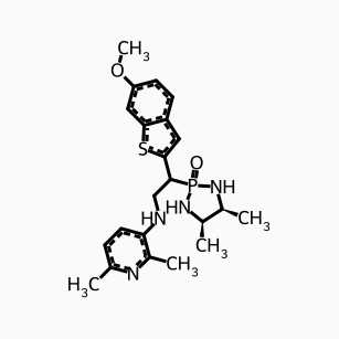 COc1ccc2cc(C(CNc3ccc(C)nc3C)P3(=O)N[C@@H](C)[C@@H](C)N3)sc2c1